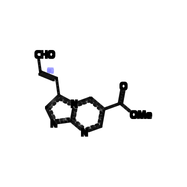 COC(=O)c1cnc2ncc(/C=C/C=O)n2c1